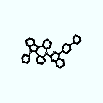 c1ccc(-c2ccc(-c3nc(N4c5ccccc5-c5c(n(-c6ccccc6)c6ccccc56)-c5ccccc54)nc4ccccc34)cc2)cc1